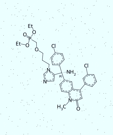 CCOP(=O)(COCCCn1cncc1[C@@](N)(c1ccc(Cl)cc1)c1ccc2c(c1)c(-c1cccc(Cl)c1)cc(=O)n2C)OCC